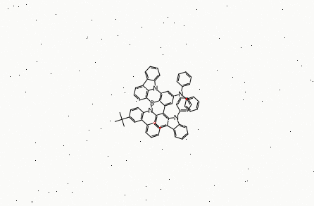 CC(C)(C)c1ccc(N2B3c4c(cc(N(c5ccccc5)c5ccccc5)cc4-n4c5ccccc5c5cccc3c54)-c3c2ccc2c4ccccc4n(-c4ccccc4)c32)c(-c2ccccc2)c1